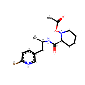 CC(C)(C)C(=O)ON1CCCC[C@H]1C(=O)N[C@H](C#N)Cc1ccc(Br)nc1